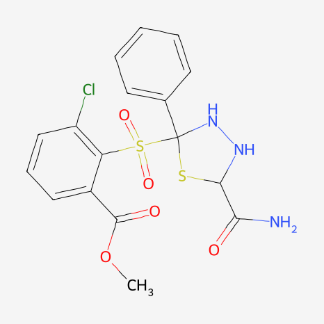 COC(=O)c1cccc(Cl)c1S(=O)(=O)C1(c2ccccc2)NNC(C(N)=O)S1